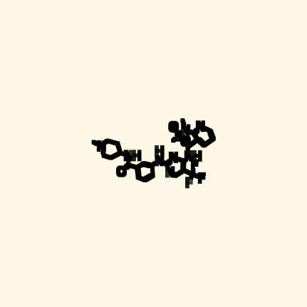 CN1CCC(NC(=O)c2cccc(Nc3ncc(C(F)(F)F)c(NCc4cccnc4N(C)S(C)(=O)=O)n3)c2)CC1